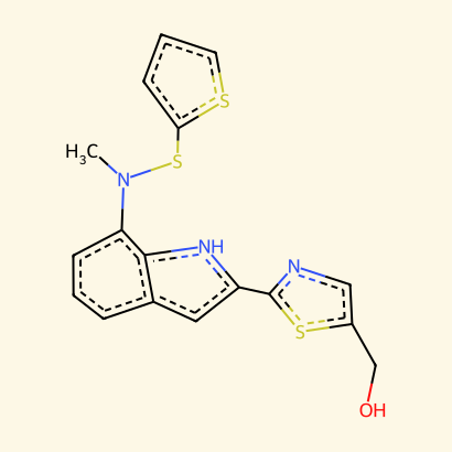 CN(Sc1cccs1)c1cccc2cc(-c3ncc(CO)s3)[nH]c12